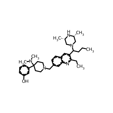 CCCC(c1cc2ccc(CN3CCC(c4cccc(O)c4)(N(C)C)CC3)cc2nc1CC)N1C[C@@H](C)N[C@@H](C)C1